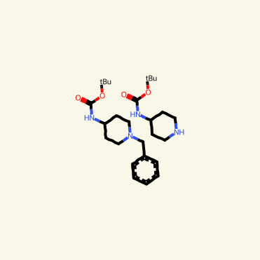 CC(C)(C)OC(=O)NC1CCN(Cc2ccccc2)CC1.CC(C)(C)OC(=O)NC1CCNCC1